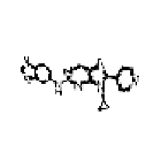 c1cc(-c2nc3cnc(Nc4ccc5ncsc5c4)nc3n2C2CC2)ccn1